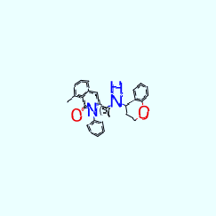 Cc1cccc2cc([C@H](C)NC3CCOc4ccccc43)n(-c3ccccc3)c(=O)c12